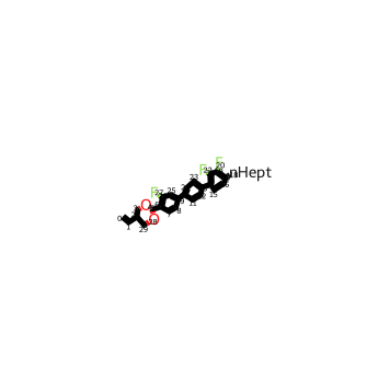 C=CC1COC(c2ccc(-c3ccc(-c4ccc(CCCCCCC)c(F)c4F)cc3)cc2F)OC1